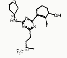 C[C@@H](CCc1nc(N[C@H]2CCOC2)nc(C2=C(F)C(O)CCC2)n1)C(F)(F)F